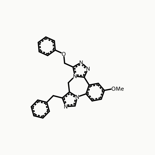 COc1ccc2c(c1)-c1nnc(COc3ccccc3)n1Cc1c(Cc3ccccc3)ncn1-2